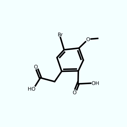 COc1cc(C(=O)O)c(CC(=O)O)cc1Br